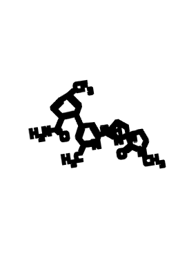 Cc1cc(-c2cc(C(F)(F)F)ccc2C(N)=O)cc([C@H]2CC[C@]3(CCN(C)C3=O)N2)n1